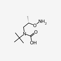 C[C@@H](CN(C(=O)O)C(C)(C)C)ON